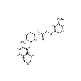 COc1cccc(OCC(=O)N[C@H]2CC[C@@H](Nc3ccc4ccccc4n3)CC2)c1